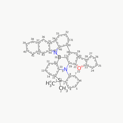 C[Si]1(C)c2ccccc2N2c3c(cccc31)B1c3c(cc4c(oc5ccccc54)c32)-c2cccc3c4cc5ccccc5cc4n1c23